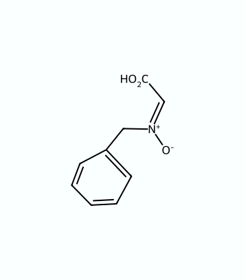 O=C(O)/C=[N+](/[O-])Cc1ccccc1